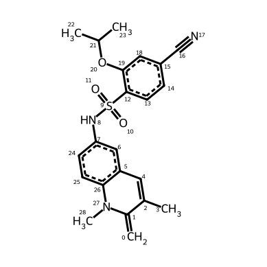 C=C1C(C)=Cc2cc(NS(=O)(=O)c3ccc(C#N)cc3OC(C)C)ccc2N1C